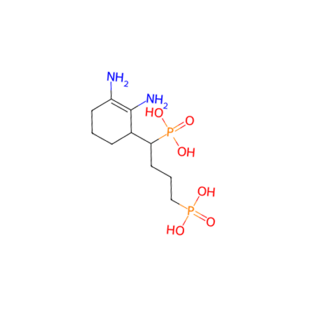 NC1=C(N)C(C(CCCP(=O)(O)O)P(=O)(O)O)CCC1